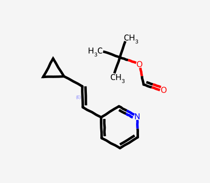 C(=C\C1CC1)/c1cccnc1.CC(C)(C)OC=O